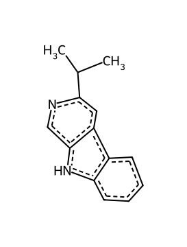 CC(C)c1cc2c(cn1)[nH]c1ccccc12